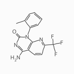 Cc1ccccc1-n1c(=O)nc(N)c2ccc(C(F)(F)F)nc21